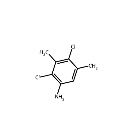 Cc1cc(N)c(Cl)c(C)c1Cl